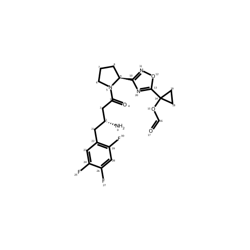 N[C@@H](CC(=O)N1CCC[C@H]1c1noc(C2(OC=O)CC2)n1)Cc1cc(F)c(F)cc1F